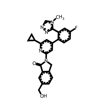 Cn1cnnc1-c1cc(F)ccc1-c1cc(C2CC2)nc(N2Cc3ccc(CO)cc3C2=O)c1